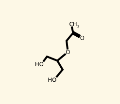 CC(=O)COC(CO)CO